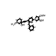 CO[C@@H]1CN(c2ccc(C#CC3(O)CCCN(C)C3)c(Cc3ccccc3)n2)C[C@H]1O